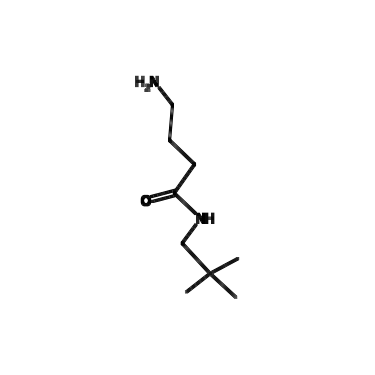 CC(C)(C)CNC(=O)CCCN